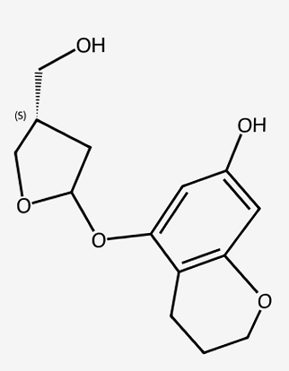 OC[C@H]1COC(Oc2cc(O)cc3c2CCCO3)C1